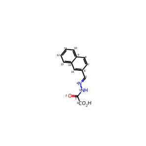 O=C(O)C(=O)NN=Cc1ccc2ccccc2c1